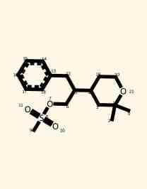 CC1(C)CC(C(COS(C)(=O)=O)Cc2ccccc2)CCO1